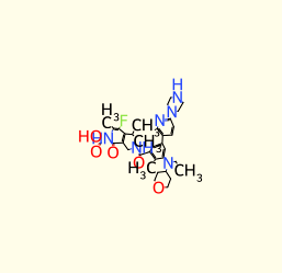 CCN(c1cc(-c2ccc(N3CCNCC3)nc2)cc(C(=O)NCc2c(C(C)C)c(F)c(C)[nH]c2=O)c1C)C1CCOCC1.O=CO